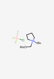 CCCC[N+]1(COC)CCCC1.F[B-](F)(F)Cl